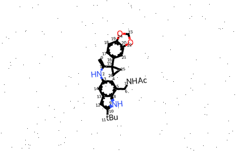 C=C(Nc1cc(CNC(C)=O)c2[nH]c(C(C)(C)C)cc2c1)C1(c2ccc3c(c2)OCO3)CC1